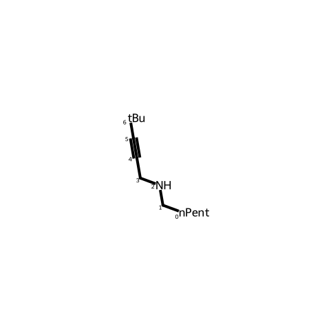 CCCCCCNCC#CC(C)(C)C